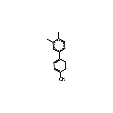 Cc1ccc(C2=CC=C(C#N)CC2)cc1C